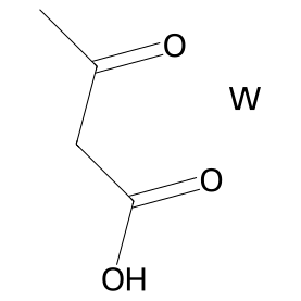 CC(=O)CC(=O)O.[W]